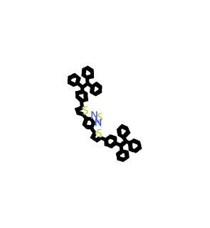 c1ccc(C(=C(c2ccccc2)c2ccc(-c3ccc(-c4ccc(-c5ccc(-c6ccc(C(c7ccccc7)C(c7ccccc7)c7ccccc7)cc6)s5)c5nsnc45)s3)cc2)c2ccccc2)cc1